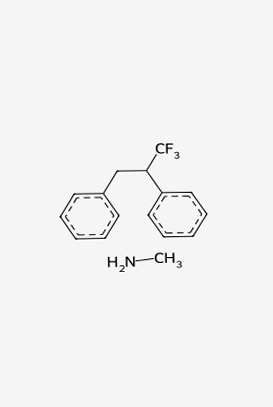 CN.FC(F)(F)C(Cc1ccccc1)c1ccccc1